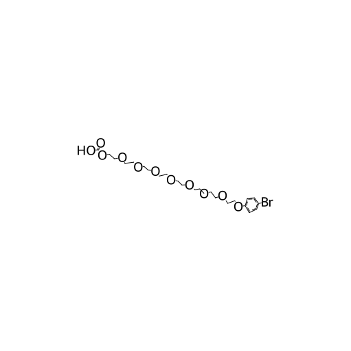 O=C(O)OCCOCCOCCOCCOCCOCCOCCOCCOc1ccc(Br)cc1